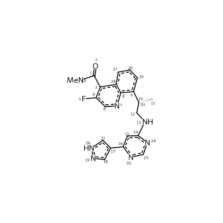 CNC(=O)c1c(F)cnc2c([C@H](C)CNc3cc(-c4cn[nH]c4)ncn3)cccc12